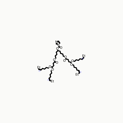 CC/C=C\CCCCOC(CCC(=O)OCCCCC(CCCCOC(=O)CCC(OCCCC/C=C\CC)OCCCC/C=C\CC)OC(=O)n1ccnc1)OCCCC/C=C\CC